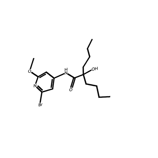 CCCCC(O)(CCCC)C(=O)Nc1cc(Br)nc(OC)c1